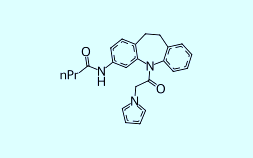 CCCC(=O)Nc1ccc2c(c1)N(C(=O)Cn1cccc1)c1ccccc1CC2